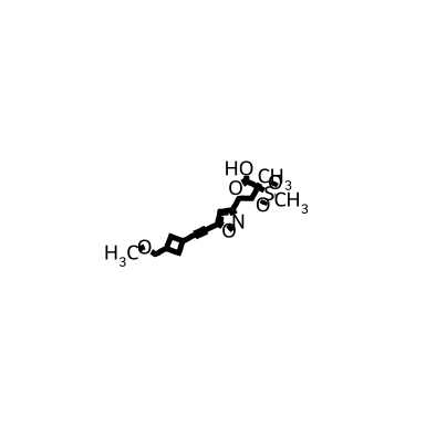 COCC1CC(C#Cc2cc(CCC(C)(C(=O)O)S(C)(=O)=O)no2)C1